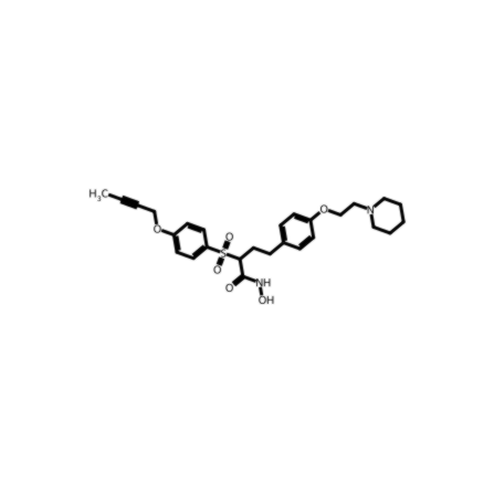 CC#CCOc1ccc(S(=O)(=O)C(CCc2ccc(OCCN3CCCCC3)cc2)C(=O)NO)cc1